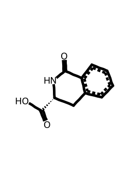 O=C1N[C@@H](C(=O)O)Cc2ccccc21